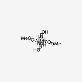 COc1ccc(CNc2nc(N3CCC(O)C3)nc3c(NCc4ccc(OC)cc4)nc(N4CCC(O)C4)nc23)cc1